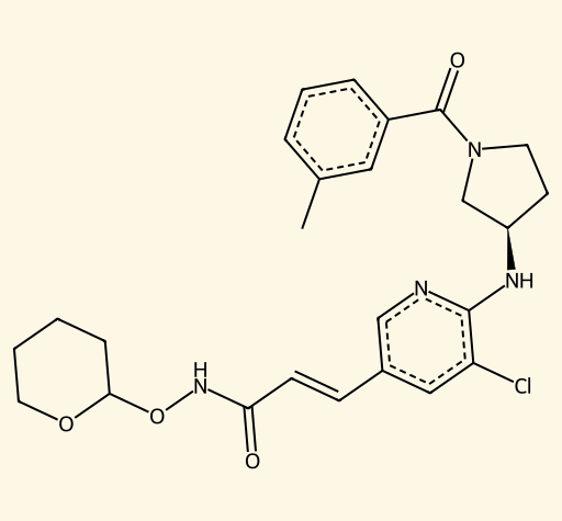 Cc1cccc(C(=O)N2CC[C@@H](Nc3ncc(C=CC(=O)NOC4CCCCO4)cc3Cl)C2)c1